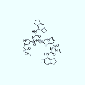 C[C@@H]1Cn2ncc([S@@](=O)(=NC(=O)Nc3c4c(cc5c3CC5)CCC4)NC[C@H]3Cn4ncc([S@@](N)(=O)=NC(=O)Nc5c6c(cc7c5CC7)CCC6)c4O3)c2O1